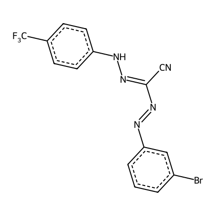 N#CC(N=Nc1cccc(Br)c1)=NNc1ccc(C(F)(F)F)cc1